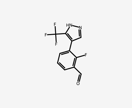 O=Cc1cccc(-c2cn[nH]c2C(F)(F)F)c1F